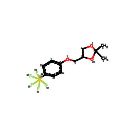 CC1(C)OCC(COc2ccc(S(F)(F)(F)(F)F)cc2)O1